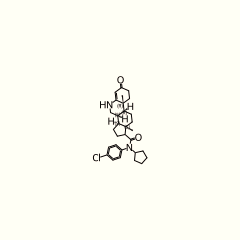 C[C@]12CCC(=O)C=C1NC[C@@H]1[C@H]2CC[C@]2(C)C(C(=O)N(c3ccc(Cl)cc3)C3CCCC3)CC[C@@H]12